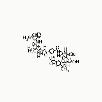 Cc1ncsc1-c1ccc([C@H](C)NC(=O)[C@@H]2C[C@@H](O)CN2C(=O)[C@@H](NC(=O)CNC(=O)c2ccc(C(=O)Nc3n[nH]c4c3CN(C(=O)N[C@H](CN(C)C)c3ccccc3)C4(C)C)cc2)C(C)(C)C)cc1